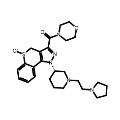 O=C(c1nn([C@H]2CCCN(CCN3CCCC3)C2)c2c1C[S+]([O-])c1ccccc1-2)N1CCOCC1